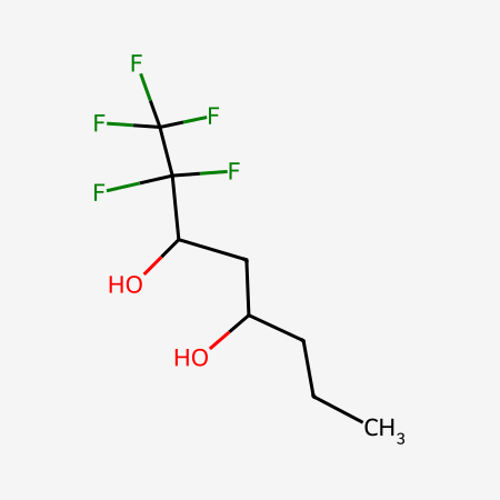 CCCC(O)CC(O)C(F)(F)C(F)(F)F